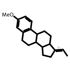 C/C=C1\CCC2C1CCC1c3ccc(OC)cc3CCC12